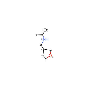 C=C(CC)NCC1CCOC1